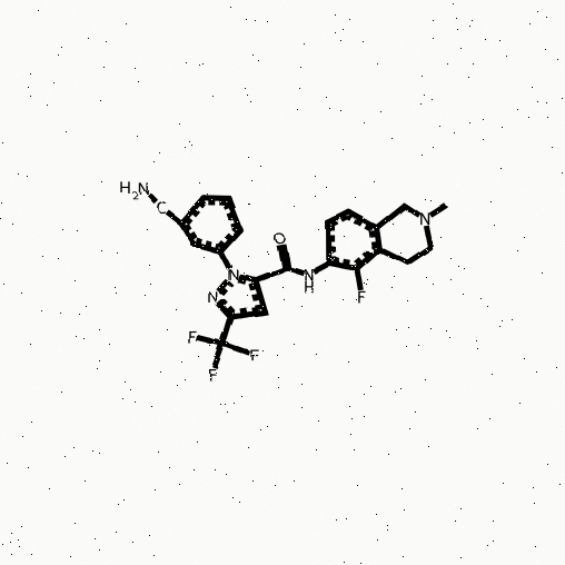 CN1CCc2c(ccc(NC(=O)c3cc(C(F)(F)F)nn3-c3cccc(CN)c3)c2F)C1